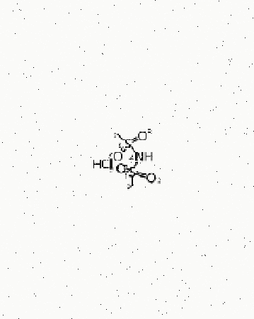 CS(=O)(=O)NS(C)(=O)=O.Cl